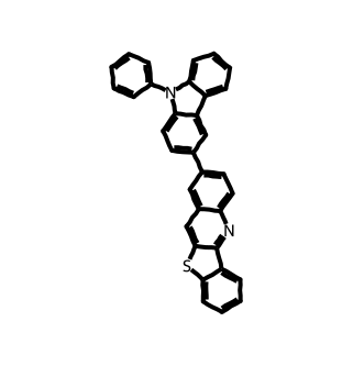 c1ccc(-n2c3ccccc3c3cc(-c4ccc5nc6c(cc5c4)sc4ccccc46)ccc32)cc1